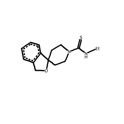 CCNC(=S)N1CCC2(CC1)OCc1ccccc12